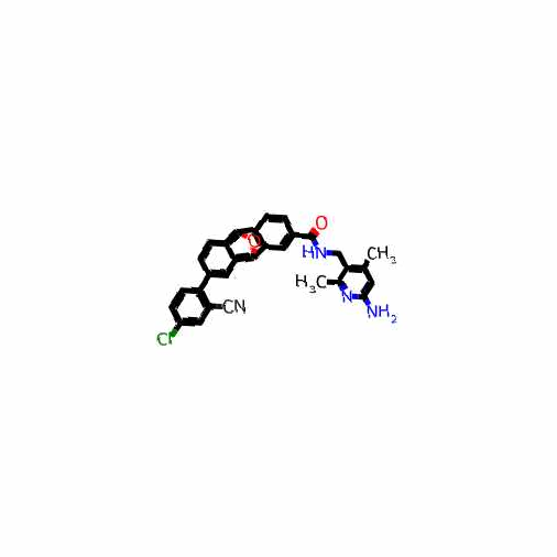 Cc1cc(N)nc(C)c1CNC(=O)c1ccc2c(c1)c1oc2c2ccc(-c3ccc(Cl)cc3C#N)cc21